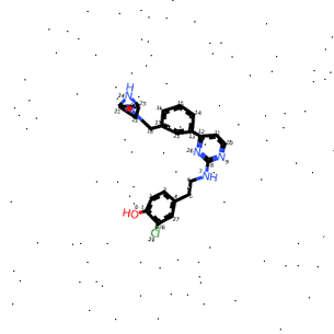 Oc1ccc(CCNc2nccc(-c3cccc(CN4CC5CC4N5)c3)n2)cc1Cl